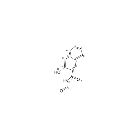 O=CNC(=O)c1cc2ccccc2cc1O